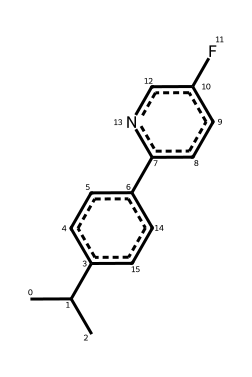 CC(C)c1ccc(-c2ccc(F)cn2)cc1